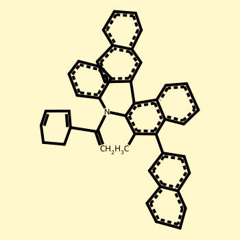 C=C(C1=CC=CCC1)N(c1ccccc1)c1c(C)c(-c2ccc3ccccc3c2)c2ccccc2c1-c1ccc2ccccc2c1